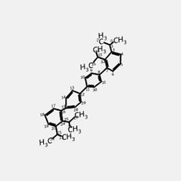 CC(C)c1cccc(-c2ccc(-c3ccc(-c4cccc(C(C)C)c4C(C)C)cc3)cc2)c1C(C)C